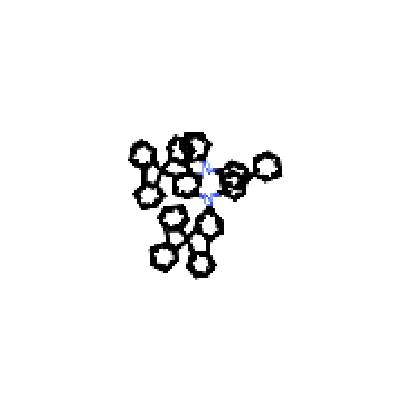 c1ccc(-c2ccc(N(c3ccc4c(c3)C3(c5ccccc5-c5ccccc53)c3ccccc3-4)c3ccc(C4(c5ccccc5)c5ccccc5-c5ccccc54)c4c5ccccc5n(-c5ccccc5)c34)cc2)cc1